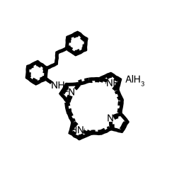 C1=Cc2cc3ccc(cc4nc(cc5ccc(cc1n2)[nH]5)C=C4)[nH]3.Nc1ccccc1CCc1ccccc1.[AlH3]